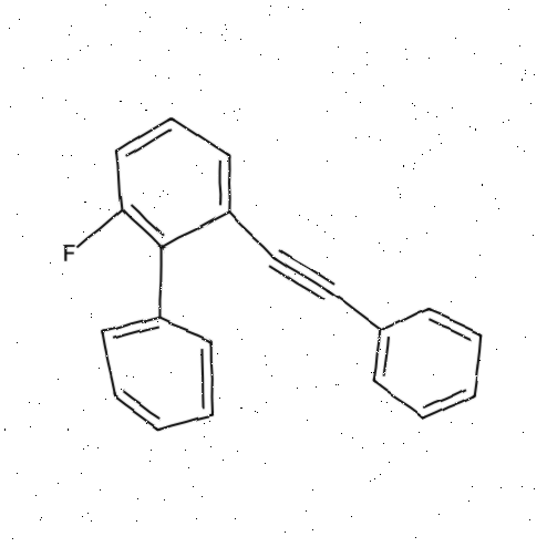 Fc1cccc(C#Cc2ccccc2)c1-c1ccccc1